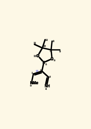 CN/C=C(\C=N)B1OC(C)(C)C(C)(C)O1